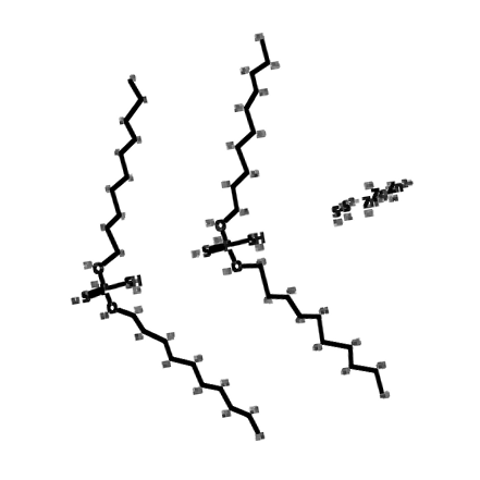 CCCCCCCCCCOP(=S)(S)OCCCCCCCCCC.CCCCCCCCCCOP(=S)(S)OCCCCCCCCCC.[S-2].[S-2].[Zn+2].[Zn+2].[Zn+2]